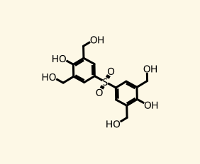 O=S(=O)(c1cc(CO)c(O)c(CO)c1)c1cc(CO)c(O)c(CO)c1